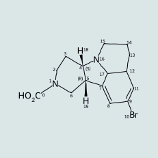 O=C(O)N1CC[C@H]2[C@@H](C1)C1=CC(Br)=CC3CCCN2C13